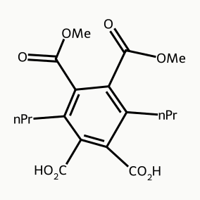 CCCc1c(C(=O)O)c(C(=O)O)c(CCC)c(C(=O)OC)c1C(=O)OC